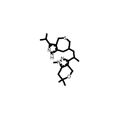 CC(C)c1n[nH]c2c1CSCC(CC(C)c1nn(C)c3c1COC(C)(C)C3)C2